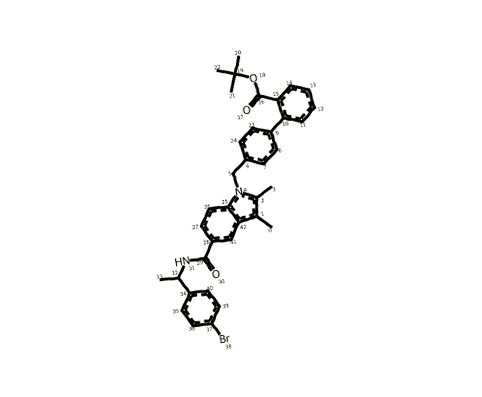 Cc1c(C)n(Cc2ccc(-c3ccccc3C(=O)OC(C)(C)C)cc2)c2ccc(C(=O)NC(C)c3ccc(Br)cc3)cc12